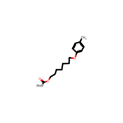 CNC(=O)OCCCCCCCOc1ccc(C)cc1